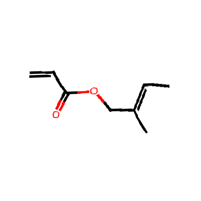 C=CC(=O)OCC(C)=CC